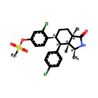 CC[C@@]12CC[C@@H](c3ccc(OS(=O)(=O)C(F)(F)F)cc3Cl)[C@H](c3ccc(Cl)cc3)[C@@H]1[C@@H](C)NC2=O